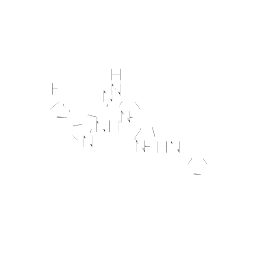 Fc1ccc(-c2ccnc3[nH]c(-c4n[nH]c5ccc(-c6cncc(CNCc7ccccc7)c6)nc45)cc23)s1